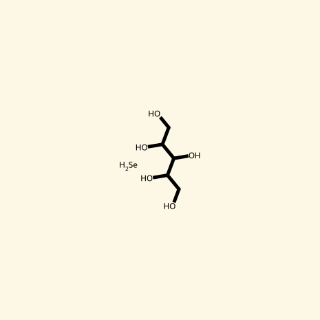 OCC(O)C(O)C(O)CO.[SeH2]